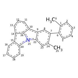 Cc1ccccc1-c1cc2c3cccc4c5ccccc5n(c2cc1C)c43